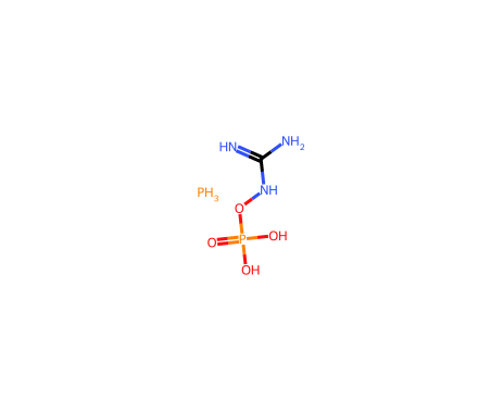 N=C(N)NOP(=O)(O)O.P